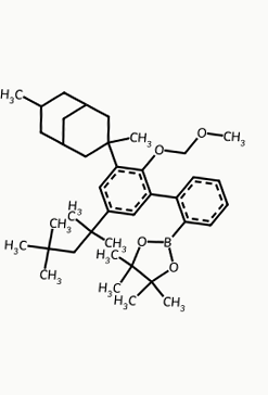 COCOc1c(-c2ccccc2B2OC(C)(C)C(C)(C)O2)cc(C(C)(C)CC(C)(C)C)cc1C1(C)CC2CC(C)CC(C2)C1